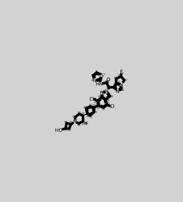 O=C(Nc1nccs1)C(c1ncn2c1CC(F)C2)n1cc2c(Cl)cc(-c3ccc([C@@H]4CCN(C5CC(O)C5)C[C@H]4F)cc3)c(Cl)c2n1